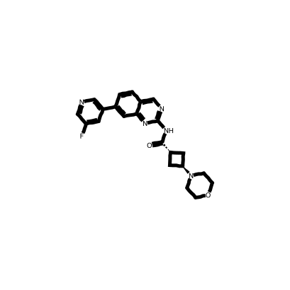 O=C(Nc1ncc2ccc(-c3cncc(F)c3)cc2n1)[C@H]1C[C@H](N2CCOCC2)C1